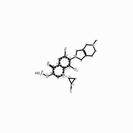 CN1CCC2=C(C1)CN(c1c(F)cc3c(=O)c(OC(=O)O)cn([C@@H]4C[C@H]4F)c3c1Cl)C2